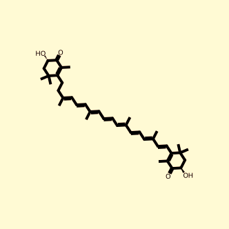 CC1=C(/C=C/C(C)=C/C=C/C(C)=C/C=C/C=C(C)/C=C/C=C(\C)CCC2=C(C)C(=O)[C@@H](O)CC2(C)C)C(C)(C)C[C@@H](O)C1=O